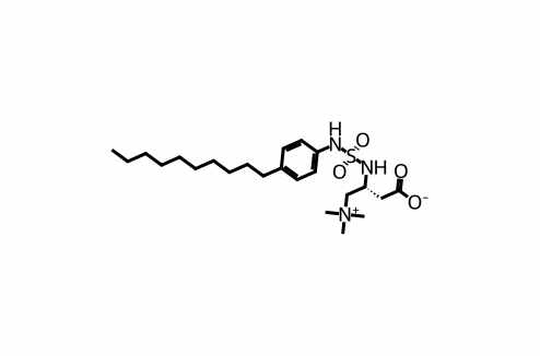 CCCCCCCCCCc1ccc(NS(=O)(=O)N[C@H](CC(=O)[O-])C[N+](C)(C)C)cc1